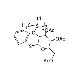 CC(=O)OCC1O[C@@H](Sc2ccccc2)C(O[Si](C)(C)Cl)[C@@H](OC(C)=O)[C@H]1OC(C)=O